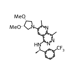 CO[C@H]1CN(c2cc3c(N[C@H](C)c4cccc(C(F)(F)F)c4)nnc(C)c3nc2C)C[C@H]1OC